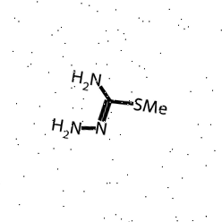 CSC(N)=NN